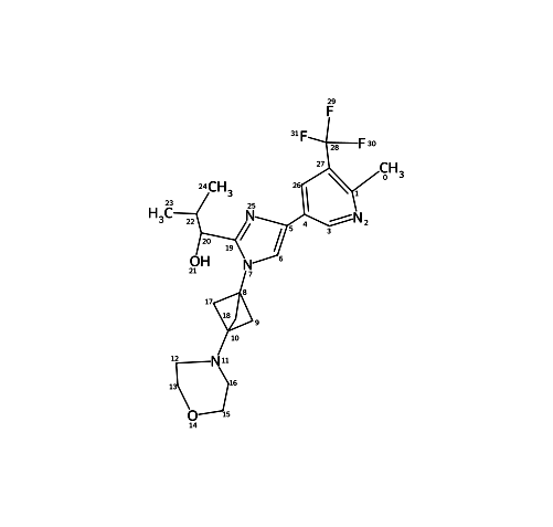 Cc1ncc(-c2cn(C34CC(N5CCOCC5)(C3)C4)c(C(O)C(C)C)n2)cc1C(F)(F)F